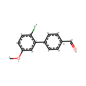 COc1ccc(F)c(-c2ccc(C=O)cc2)c1